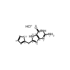 Cl.Nc1nc2nc(Cc3cccs3)[nH]c2c(=O)[nH]1